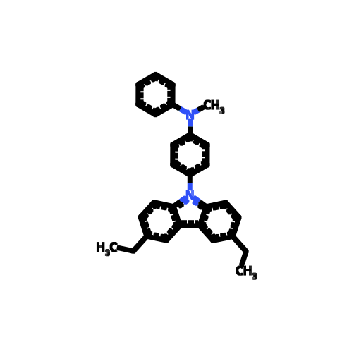 CCc1ccc2c(c1)c1cc(CC)ccc1n2-c1ccc(N(C)c2ccccc2)cc1